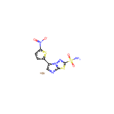 Br.NS(=O)(=O)c1nn2c(-c3ccc([N+](=O)[O-])s3)cnc2s1